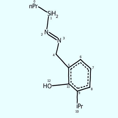 CCC[SiH2]/N=N/Cc1cccc(C(C)C)c1O